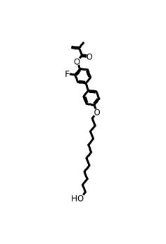 C=C(C)C(=O)Oc1ccc(-c2ccc(OCCCCCCCCCCCCO)cc2)cc1F